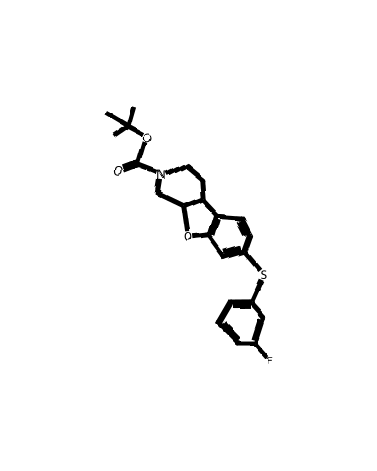 CC(C)(C)OC(=O)N1CCC2c3ccc(Sc4cccc(F)c4)cc3OC2C1